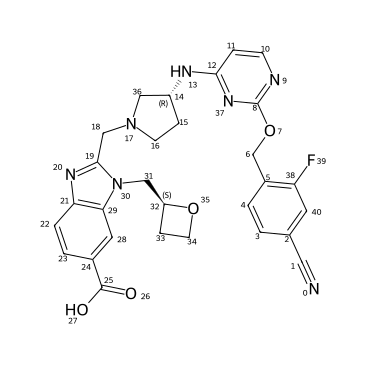 N#Cc1ccc(COc2nccc(N[C@@H]3CCN(Cc4nc5ccc(C(=O)O)cc5n4C[C@@H]4CCO4)C3)n2)c(F)c1